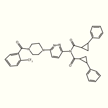 O=C(c1ccccc1C(F)(F)F)N1CCN(c2ccc(N(C(=O)C3CC3c3ccccc3)C(=O)C3CC3c3ccccc3)nn2)CC1